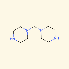 C1CN(CN2CCNCC2)CCN1